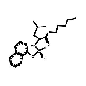 CCCCCOC(=O)[C@H](CC(C)C)NP(=O)(Cl)Oc1cccc2ccccc12